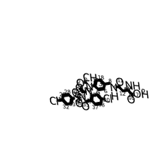 CC(=O)N(c1ccc(CNC(=O)C[C@H](N)C(=O)O)cc1)n1c(=O)n(S(=O)(=O)c2ccc(Cl)cc2)c(=O)c2ccc(Cl)cc21